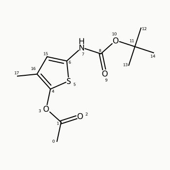 CC(=O)Oc1sc(NC(=O)OC(C)(C)C)cc1C